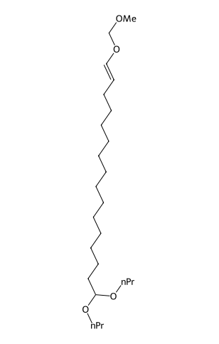 CCCOC(CCCCCCCCCCCCCC=COCOC)OCCC